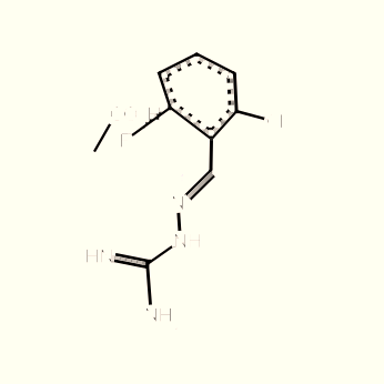 CC(=O)O.N=C(N)N/N=C/c1c(F)cccc1C(F)(F)F